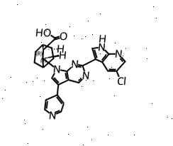 O=C(O)[C@@H]1C2CCC(CC2)[C@H]1n1cc(-c2ccncc2)c2cnc(-c3c[nH]c4ncc(Cl)cc34)nc21